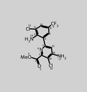 COC(=O)c1nc(-c2cc(C(F)(F)F)cc(Cl)c2N)cc(N)c1Cl